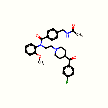 COc1ccccc1N(CCN1CCC(C(=O)c2ccc(F)cc2)CC1)C(=O)c1ccc(CNC(C)=O)cc1